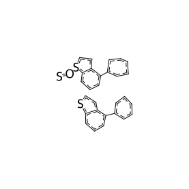 O=S.c1ccc(-c2cccc3sccc23)cc1.c1ccc(-c2cccc3sccc23)cc1